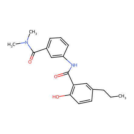 CCCc1ccc(O)c(C(=O)Nc2cccc(C(=O)N(C)C)c2)c1